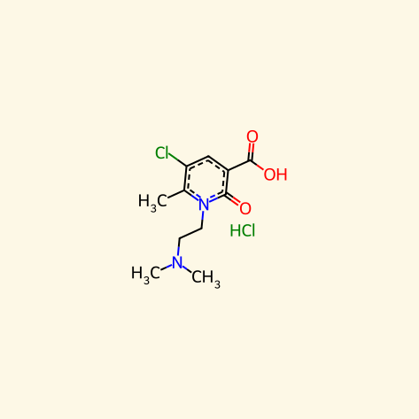 Cc1c(Cl)cc(C(=O)O)c(=O)n1CCN(C)C.Cl